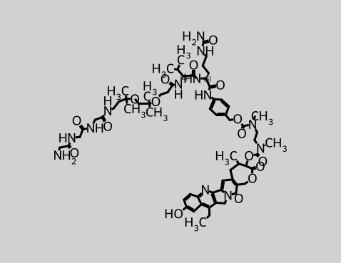 CCc1c2c(nc3ccc(O)cc13)-c1cc3c(c(=O)n1C2)COC(=O)C(OC(=O)N(C)CCN(C)C(=O)OCc1ccc(NC(=O)[C@H](CCCNC(N)=O)NC(=O)[C@@H](NC(=O)CCOC(C)(C)COC(C)(C)CCNC(=O)CNC(=O)CNC(=O)CN)C(C)C)cc1)C(C)C3